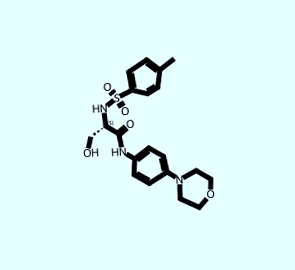 Cc1ccc(S(=O)(=O)N[C@@H](CO)C(=O)Nc2ccc(N3CCOCC3)cc2)cc1